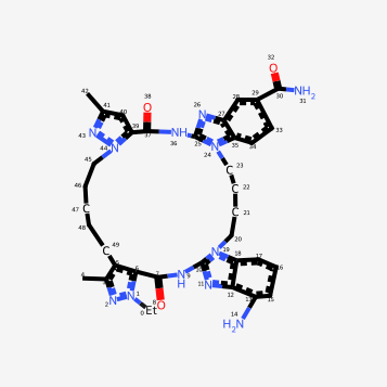 CCn1nc(C)c2c1C(=O)Nc1nc3c(N)cccc3n1CCCCn1c(nc3cc(C(N)=O)ccc31)NC(=O)c1cc(C)nn1CCCCC2